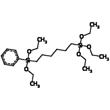 CCO[Si](CCCCCC[Si](OCC)(OCC)c1ccccc1)(OCC)OCC